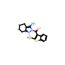 Cc1sc2ccccc2c1C(=O)n1nc2c(c1N)CCCC2